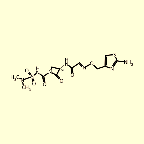 CN(C)S(=O)(=O)NC(=O)N1C[C@H](NC(=O)C=NOCc2csc(N)n2)C1=O